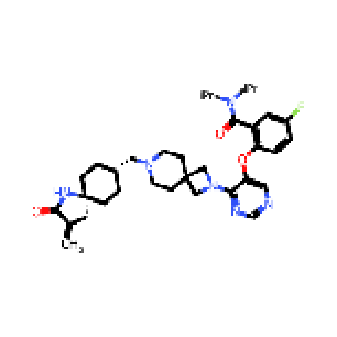 C=C1C[C@]2(CC[C@@H](CN3CCC4(CC3)CN(c3ncncc3Oc3ccc(F)cc3C(=O)N(C(C)C)C(C)C)C4)CC2)NC1=O